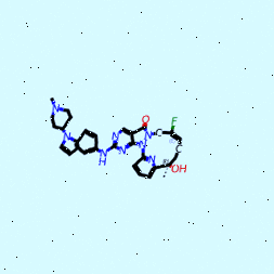 CN1CCC(n2ccc3cc(Nc4ncc5c(=O)n6n(c5n4)-c4cccc(n4)[C@](C)(O)CC/C=C(/F)C6)ccc32)CC1